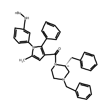 CCCCNc1cccc(-n2c(C)cc(C(=O)N3CCN(Cc4ccccc4)C[C@H]3Cc3ccccc3)c2-c2ccccc2)c1